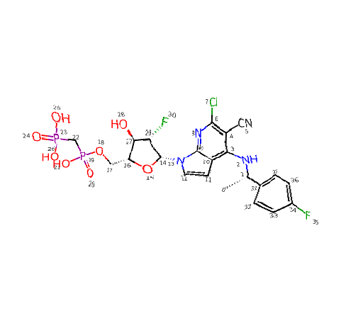 C[C@H](Nc1c(C#N)c(Cl)nc2c1ccn2[C@@H]1O[C@H](COP(=O)(O)CP(=O)(O)O)[C@@H](O)[C@@H]1F)c1ccc(F)cc1